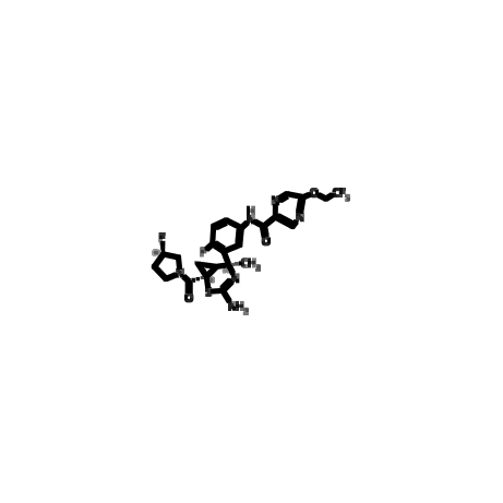 C[C@]1(c2cc(NC(=O)c3cnc(OCC(F)(F)F)cn3)ccc2F)N=C(N)S[C@@]2(C(=O)N3CC[C@@H](F)C3)CC21